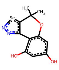 CC1(C)Oc2cc(O)cc(O)c2-c2nn[se]c21